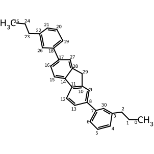 CCCc1cccc(-c2[c]c3c(cc2)-c2ccc(-c4cccc(CCC)c4)cc2C3)c1